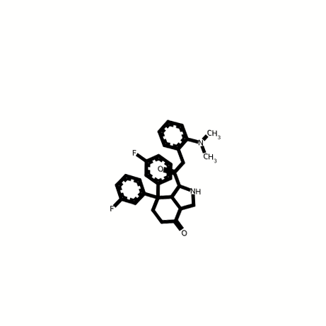 CN(C)c1ccccc1CC(=O)C1NCC2C(=O)CCC(c3cccc(F)c3)(c3cccc(F)c3)C21